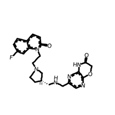 O=C1COc2ncc(CNC[C@@H]3CCN(CCn4c(=O)ccc5ccc(F)cc54)C3)nc2N1